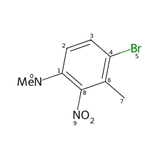 CNc1ccc(Br)c(C)c1[N+](=O)[O-]